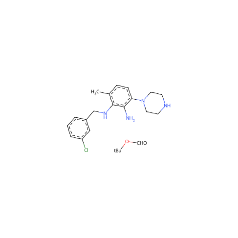 CC(C)(C)OC=O.Cc1ccc(N2CCNCC2)c(N)c1NCc1cccc(Cl)c1